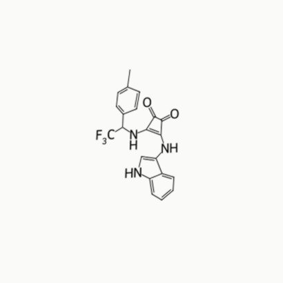 Cc1ccc(C(Nc2c(Nc3c[nH]c4ccccc34)c(=O)c2=O)C(F)(F)F)cc1